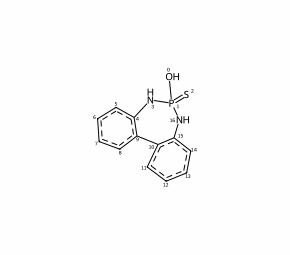 OP1(=S)Nc2ccccc2-c2ccccc2N1